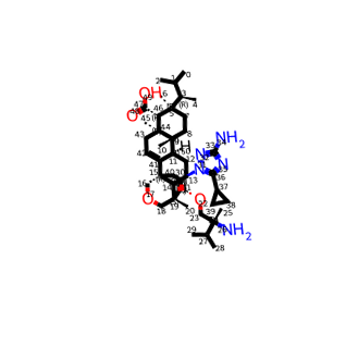 CC(C)[C@@H](C)[C@@]1(C)CC[C@]2(C)[C@H]3CC[C@@H]4[C@@]5(COC[C@@]4(C)[C@@H](OC[C@](C)(N)C(C)C)[C@H](n4nc(N)nc4C4CC4)C5)C3=CC[C@@]2(C)[C@@H]1C(=O)O